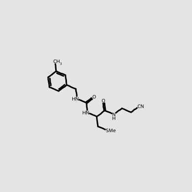 CSCC(NC(=O)NCc1cccc(C)c1)C(=O)NCCC#N